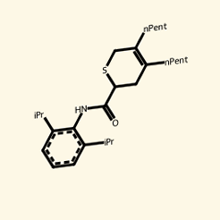 CCCCCC1=C(CCCCC)CC(C(=O)Nc2c(C(C)C)cccc2C(C)C)SC1